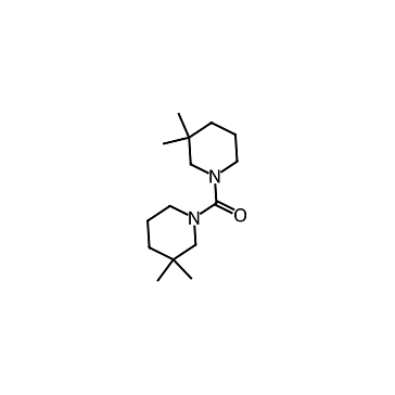 CC1(C)CCCN(C(=O)N2CCCC(C)(C)C2)C1